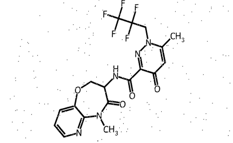 Cc1cc(=O)c(C(=O)NC2COc3cccnc3N(C)C2=O)nn1CC(F)(F)C(F)(F)F